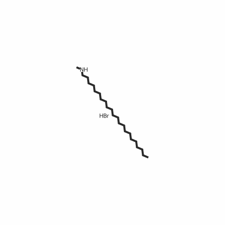 Br.CCCCCCCCCCCCCCCCCCCCCCNC